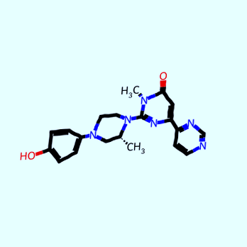 C[C@@H]1CN(c2ccc(O)cc2)CCN1c1nc(-c2ccncn2)cc(=O)n1C